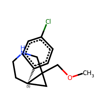 COCC12CNCC[C@]1(c1ccc(Cl)cc1)C2